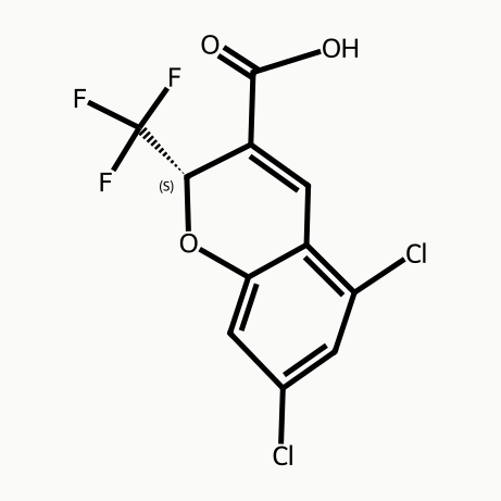 O=C(O)C1=Cc2c(Cl)cc(Cl)cc2O[C@@H]1C(F)(F)F